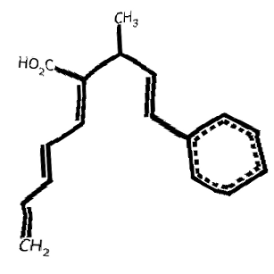 C=CC=CC=C(C(=O)O)C(C)C=Cc1ccccc1